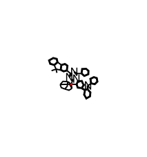 CC1(C)c2ccccc2-c2ccc(-c3nc(-c4ccccc4)nc(C4(c5ccc6c(c5)c5ccccc5n6-c5ccccc5)C5CC6CC(C5)CC4C6)n3)cc21